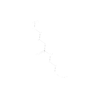 CCCCCCCCOCCOC(=O)CCCSCCC